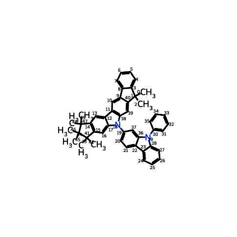 CC1(C)c2ccccc2-c2cc3c4cc5c(cc4n(-c4ccc6c7ccccc7n(-c7ccccc7)c6c4)c3cc21)C(C)(C)C(C)(C)C5(C)C